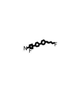 N#Cc1ccc(C2CCC(C3CCC(C=CCCCF)CC3)CC2)cc1F